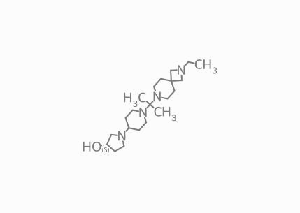 CCN1CC2(CCN(C(C)(C)N3CCC(N4CC[C@H](O)C4)CC3)CC2)C1